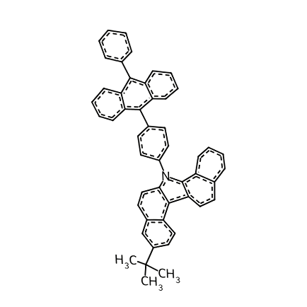 CC(C)(C)c1ccc2c(ccc3c2c2ccc4ccccc4c2n3-c2ccc(-c3c4ccccc4c(-c4ccccc4)c4ccccc34)cc2)c1